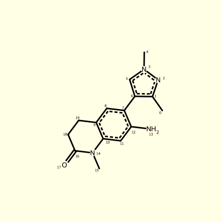 Cc1nn(C)cc1-c1cc2c(cc1N)N(C)C(=O)CC2